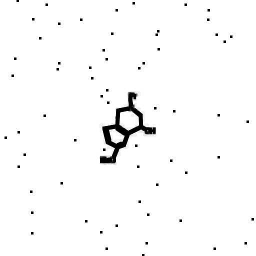 CC(C)COc1ccc2c(c1)C(O)CN(C(C)C)C2